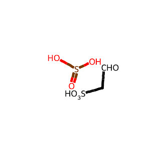 O=CCS(=O)(=O)O.O=S(O)O